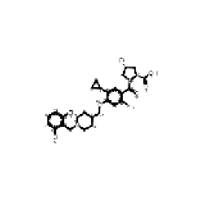 O=C(O)[C@@H]1C[C@@H](F)CN1C(=O)c1cc(C2CC2)c(OCC2CCN(Cc3c(Cl)cccc3Cl)CC2)cc1F